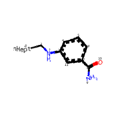 CCCCCCCCNc1cccc(C(N)=O)c1